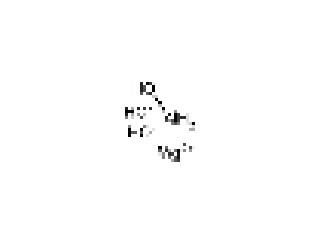 [Mg+2].[OH-].[OH-].[OH][AlH2]